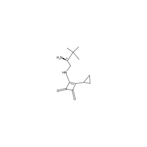 CC(C)(C)[C@H](N)CNc1c(C2CC2)c(=O)c1=O